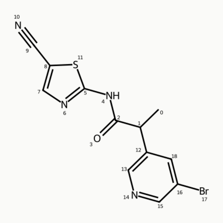 CC(C(=O)Nc1ncc(C#N)s1)c1cncc(Br)c1